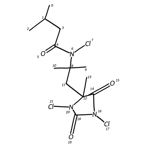 CC(C)CC(=O)N(Cl)C(C)(C)CC1(C)C(=O)N(Cl)C(=O)N1Cl